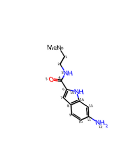 CNCCNC(=O)c1cc2ccc(N)cc2[nH]1